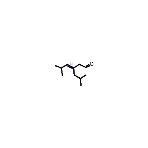 CC(C)/C=C(/CC=O)CC(C)C